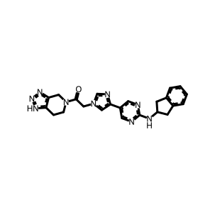 O=C(Cn1cnc(-c2cnc(NC3Cc4ccccc4C3)nc2)c1)N1CCc2[nH]nnc2C1